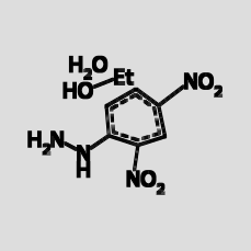 CCO.NNc1ccc([N+](=O)[O-])cc1[N+](=O)[O-].O